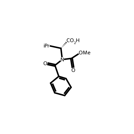 COC(=O)N(C(=O)c1ccccc1)[C@@H](C(=O)O)C(C)C